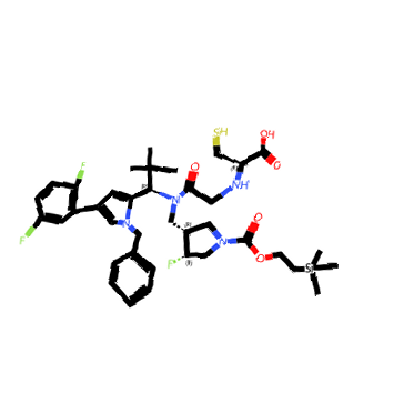 CC(C)(C)[C@H](c1cc(-c2cc(F)ccc2F)cn1Cc1ccccc1)N(C[C@@H]1CN(C(=O)OCC[Si](C)(C)C)C[C@@H]1F)C(=O)CN[C@@H](CS)C(=O)O